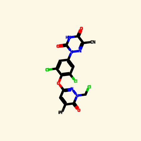 CC(C)c1cc(Oc2c(Cl)cc(-n3nc(C#N)c(=O)[nH]c3=O)cc2Cl)nn(CCl)c1=O